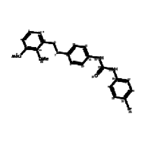 COc1ccnc(CSc2ccc(NC(=O)Nc3ccc(Br)cc3)cc2)c1OC